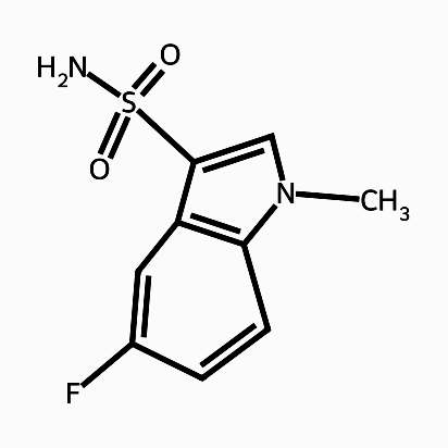 Cn1cc(S(N)(=O)=O)c2cc(F)ccc21